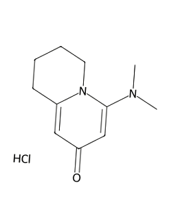 CN(C)c1cc(=O)cc2n1CCCC2.Cl